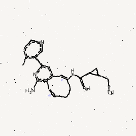 Cc1ccncc1-c1cc2c(c(N)n1)/C=C\CC/C(NC(=N)C1CC1CC#N)=C\2